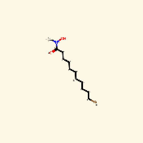 CN(O)C(=O)CCCCCCCCCCBr